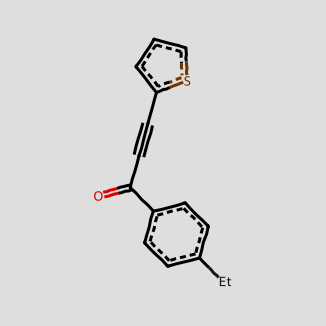 CCc1ccc(C(=O)C#Cc2cccs2)cc1